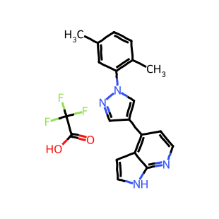 Cc1ccc(C)c(-n2cc(-c3ccnc4[nH]ccc34)cn2)c1.O=C(O)C(F)(F)F